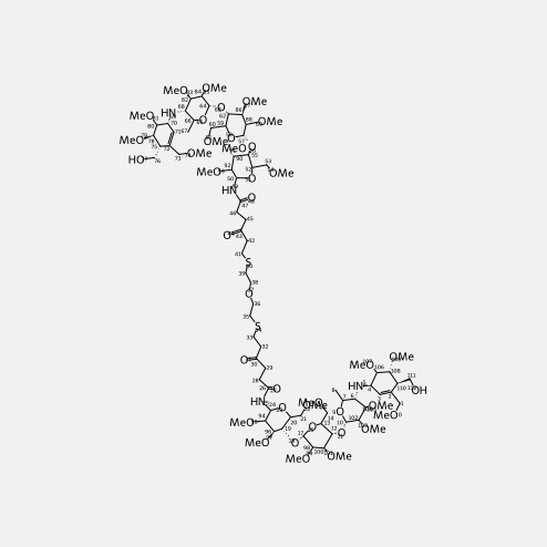 COCC1=C[C@@H](N[C@H]2C(C)O[C@@H](O[C@H]3C(COC)O[C@@H](O[C@H]4C(COC)OC(NC(=O)CCC(=O)CCSCCOCCSCCC(=O)CCC(=O)NC5OC(COC)[C@H](O[C@@H]6OC(COC)[C@H](O[C@@H]7OC(C)[C@H](N[C@@H]8C=C(COC)[C@H](CO)[C@@H](OC)C8OC)[C@@H](OC)C7OC)[C@@H](OC)C6OC)[C@@H](OC)C5OC)C(OC)[C@@H]4OC)C(OC)[C@@H]3OC)C(OC)[C@@H]2OC)C(OC)[C@H](OC)[C@H]1CO